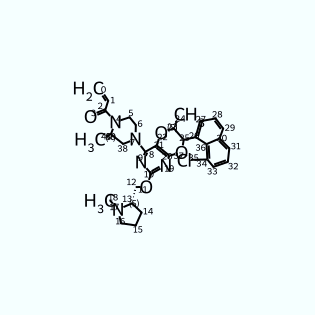 C=CC(=O)N1CCN(c2nc(OC[C@@H]3CCCN3C)nc3c2O[C@@H](C)C(c2cccc4cccc(Cl)c24)O3)C[C@H]1C